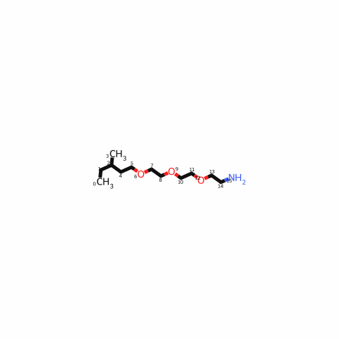 CCC(C)CCOCCOCCOCCN